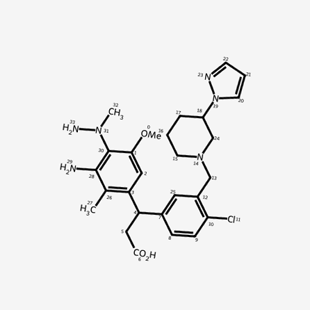 COc1cc(C(CC(=O)O)c2ccc(Cl)c(CN3CCCC(n4cccn4)C3)c2)c(C)c(N)c1N(C)N